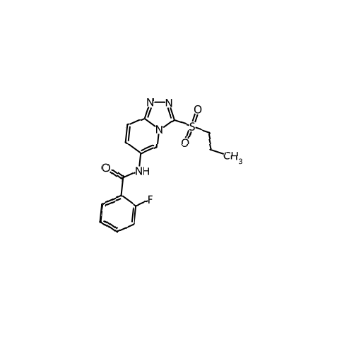 CCCS(=O)(=O)c1nnc2ccc(NC(=O)c3ccccc3F)cn12